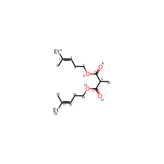 CCC(C)=CCCOC(=O)C(C)C(=O)OCCC=C(C)CC